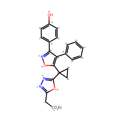 CCOC(=O)Cc1nnc(C2(c3onc(-c4ccc(O)cc4)c3-c3ccccc3)CC2)o1